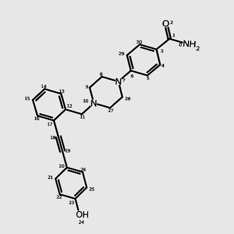 NC(=O)c1ccc(N2CCN(Cc3ccccc3C#Cc3ccc(O)cc3)CC2)cc1